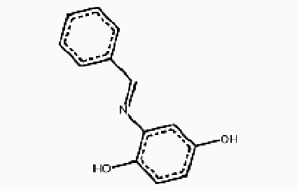 Oc1ccc(O)c(N=Cc2ccccc2)c1